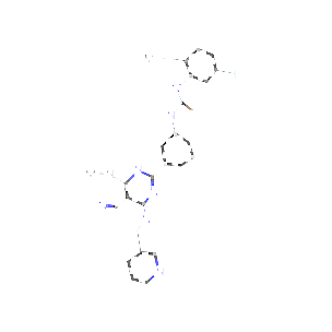 CNc1nc(-c2cccc(NC(=S)Nc3cc(Br)ccc3OC)c2)nc(NCc2cccnc2)c1C=N